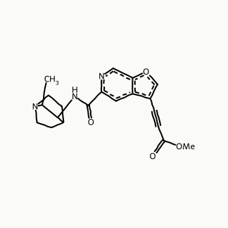 COC(=O)C#Cc1coc2cnc(C(=O)NC3C4CCN(CC4)C3C)cc12